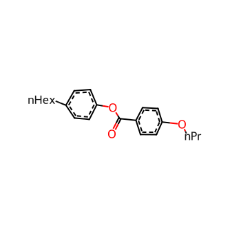 CCCCCCc1ccc(OC(=O)c2ccc(OCCC)cc2)cc1